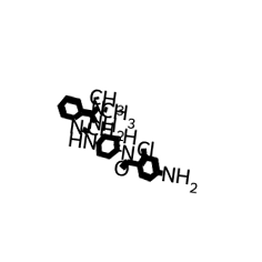 C=C(/N=C1/C=CC=C/C1=C(/N)N(C)C)N[C@H]1CC[C@@H](NC(=O)c2ccc(N)cc2Cl)CC1